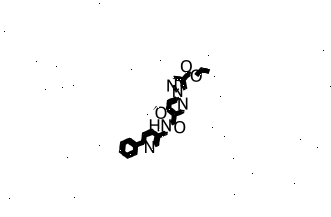 CCOC(=O)c1cnn(-c2cc(OC)c(C(=O)NCc3ccc(-c4ccccc4)nc3)cn2)c1